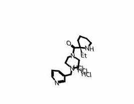 CC[C@@]1(C(=O)N2CCN(Cc3cccnc3)CC2)CCCCN1.Cl.Cl.Cl